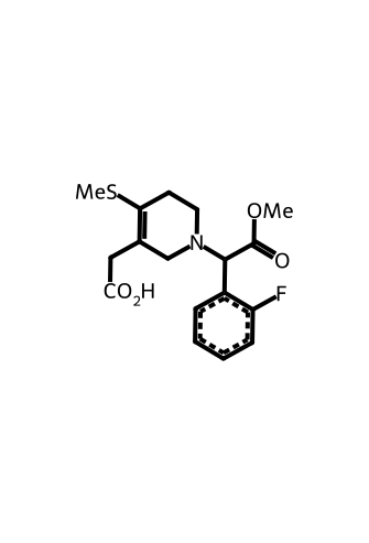 COC(=O)C(c1ccccc1F)N1CCC(SC)=C(CC(=O)O)C1